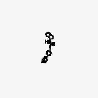 O=C(C=Cc1ccc(-n2ccnc2)cc1)NC1CCc2ccccc21